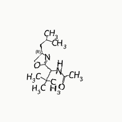 CC(=O)NC(C1=N[C@H](CC(C)C)CO1)C(C)(C)C